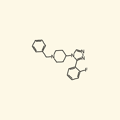 Fc1ccccc1-c1nncn1C1CCN(Cc2ccccc2)CC1